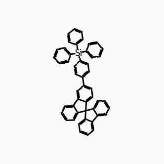 c1ccc([Si](c2ccccc2)(c2ccccc2)c2ccc(-c3ccc4c(c3)-c3ccccc3C43c4ccccc4-c4ccccc43)cc2)cc1